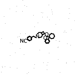 N#Cc1ccc(CCN2CCC3C[C@H](OC(=O)C4(c5ccccc5)CCCCCC4)C3CC2)cc1